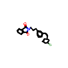 O=C1c2ccccc2C(=O)N1CCCc1cccc(/C=C\c2cccc(Cl)c2)c1